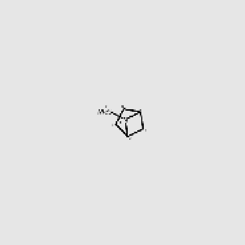 CSN1C2CCC1C2